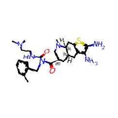 Cc1ccccc1CN(C(=O)NCCN(C)C)C(=O)[C@@H]1C[C@@H]2Cc3c(sc(N)c3N)C[C@H]2N(C)C1